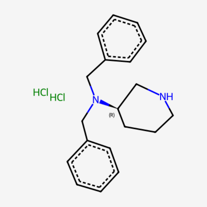 Cl.Cl.c1ccc(CN(Cc2ccccc2)[C@@H]2CCCNC2)cc1